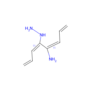 C=C/C=C(N)\C(=C/C=C)NN